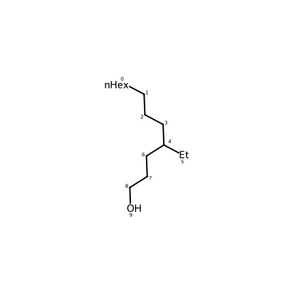 CCCCCCCCCC(CC)CCCO